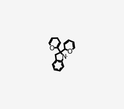 C1=COC(C2(C3=CCC=CO3)Cc3ccccc3[N]2)C=C1